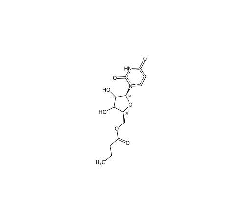 CCCC(=O)OC[C@@H]1O[C@H](n2ccc(=O)[nH]c2=O)C(O)C1O